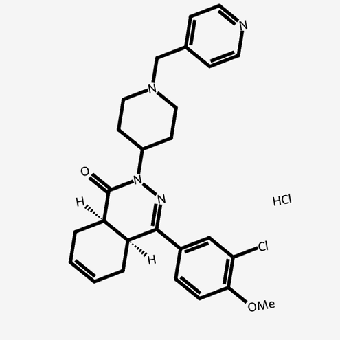 COc1ccc(C2=NN(C3CCN(Cc4ccncc4)CC3)C(=O)[C@@H]3CC=CC[C@H]23)cc1Cl.Cl